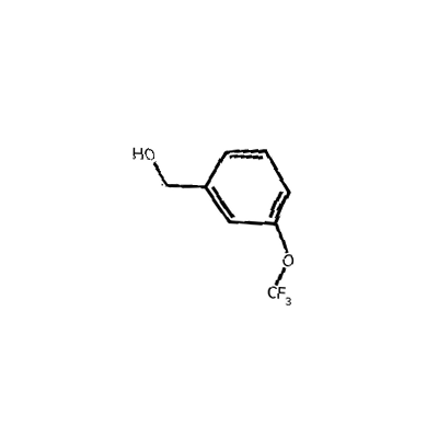 O[CH]c1cccc(OC(F)(F)F)c1